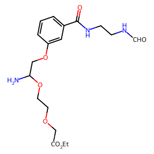 CCOC(=O)COCCOC(N)COc1cccc(C(=O)NCCNC=O)c1